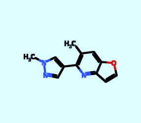 Cc1cc2occc2nc1-c1cnn(C)c1